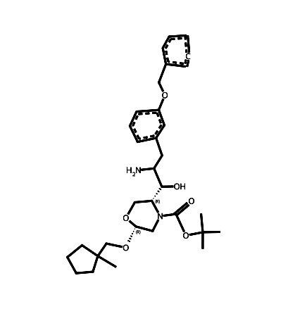 CC1(CO[C@H]2CN(C(=O)OC(C)(C)C)[C@@H](C(O)C(N)Cc3cccc(OCc4ccccc4)c3)CO2)CCCC1